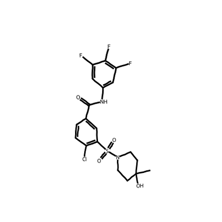 CC1(O)CCN(S(=O)(=O)c2cc(C(=O)Nc3cc(F)c(F)c(F)c3)ccc2Cl)CC1